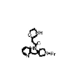 CC(C)N1CCC(Cc2ccccn2)(NC(=O)CC2CNCCO2)CC1